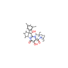 Cc1cc(C)cc(C2(C(O)c3nc(=O)c(O)c4n3CC(C)(C)N(C(C)C)C4=O)CCCC2)c1